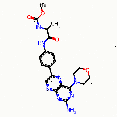 CC(NC(=O)OC(C)(C)C)C(=O)Nc1ccc(-c2cnc3nc(N)nc(N4CCOCC4)c3n2)cc1